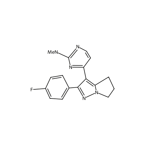 CNc1nccc(-c2c(-c3ccc(F)cc3)nn3c2CCC3)n1